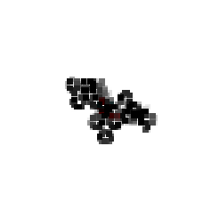 CC1(C)c2ccccc2-c2cc(N(c3cccc(-c4cccc5c4C(C)(C)c4ccccc4-5)c3)c3cccc(-c4ccccc4)c3-c3ccccc3-c3ccccc3)ccc21